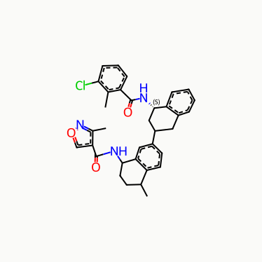 Cc1nocc1C(=O)NC1CCC(C)c2ccc(C3Cc4ccccc4[C@@H](NC(=O)c4cccc(Cl)c4C)C3)cc21